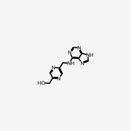 OCc1cnc(CNc2ncnc3[nH]cnc23)cn1